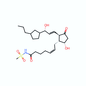 CCCC1CCC([C@H](O)/C=C/[C@H]2C(=O)C[C@H](O)[C@@H]2C/C=C\CCCC(=O)NS(C)(=O)=O)C1